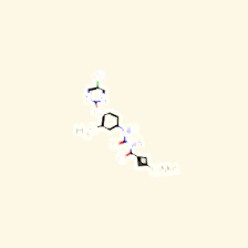 COC12CC(C(=O)NC(=O)Nc3ccc(Oc4ncc(Cl)cn4)c(C)c3)(C1)C2